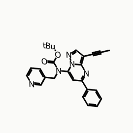 CC#Cc1cnn2c(N(Cc3cccnc3)C(=O)OC(C)(C)C)cc(-c3ccccc3)nc12